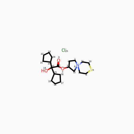 O=C(OC1CC[N+]2(CCSCC2)C1)C(O)(C1CCCC1)C1CCCC1.[Cl-]